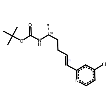 C[C@H](CC/C=C/c1cc(Cl)ccn1)NC(=O)OC(C)(C)C